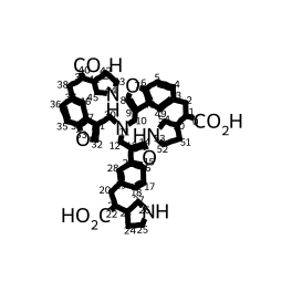 O=C(O)C(Cc1ccc2occ(CN(Cc3coc4ccc(CC(C(=O)O)C5CCNC5)cc34)Cc3coc4ccc(CC(C(=O)O)C5CCNC5)cc34)c2c1)C1CCNC1